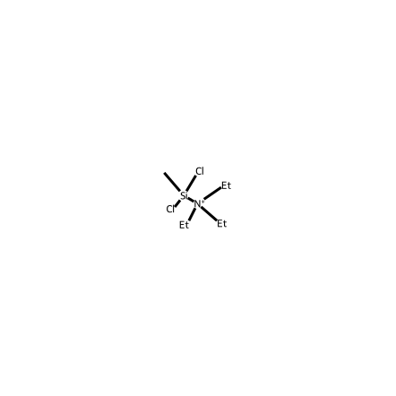 CC[N+](CC)(CC)[Si](C)(Cl)Cl